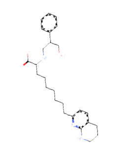 O=C(O)C(CCCCCCCc1ccc2c(n1)NCCC2)NCC(CO)c1ccccc1